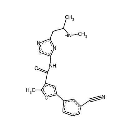 CNC(C)Cc1nsc(NC(=O)c2cc(-c3cccc(C#N)c3)oc2C)n1